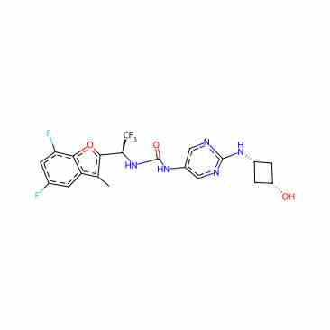 Cc1c([C@H](NC(=O)Nc2cnc(N[C@H]3C[C@@H](O)C3)nc2)C(F)(F)F)oc2c(F)cc(F)cc12